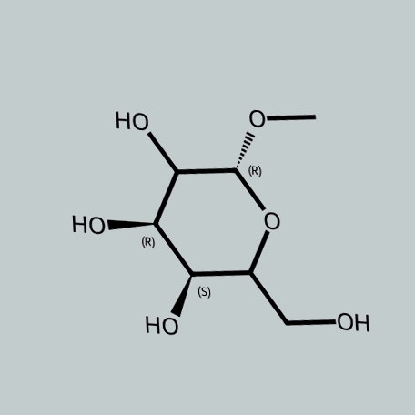 CO[C@@H]1OC(CO)[C@@H](O)[C@@H](O)C1O